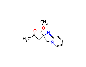 COCC1(CC(C)=O)CN2C=CC=CC2=N1